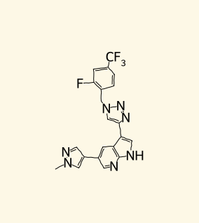 Cn1cc(-c2cnc3[nH]cc(-c4cn(Cc5ccc(C(F)(F)F)cc5F)nn4)c3c2)cn1